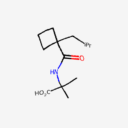 CC(C)CC1(C(=O)NC(C)(C)C(=O)O)CCC1